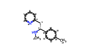 CN[C@H](Cc1ccccn1)c1ccc(C)cc1